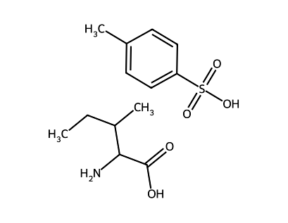 CCC(C)C(N)C(=O)O.Cc1ccc(S(=O)(=O)O)cc1